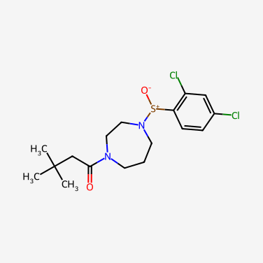 CC(C)(C)CC(=O)N1CCCN([S+]([O-])c2ccc(Cl)cc2Cl)CC1